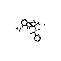 Cc1cccc2c1oc1c(NC(=O)c3ccccn3)n(C)nc12